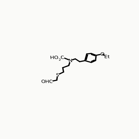 CCOc1ccc(CCN(CCCSCC=O)C(=O)O)cc1